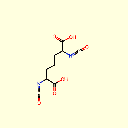 O=C=NC(CCCC(N=C=O)C(=O)O)C(=O)O